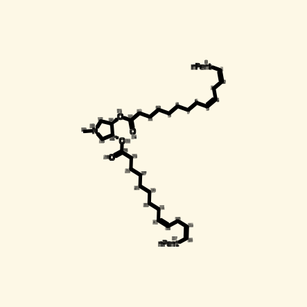 CCCCC/C=C\C/C=C\CCCCCCCC(=O)O[C@@H]1CN(C)C[C@H]1OC(=O)CCCCCCC/C=C\C/C=C\CCCCC